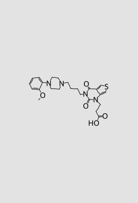 COc1ccccc1N1CCN(CCCCn2c(=O)c3cscc3n(CCC(=O)O)c2=O)CC1